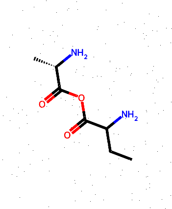 CCC(N)C(=O)OC(=O)[C@H](C)N